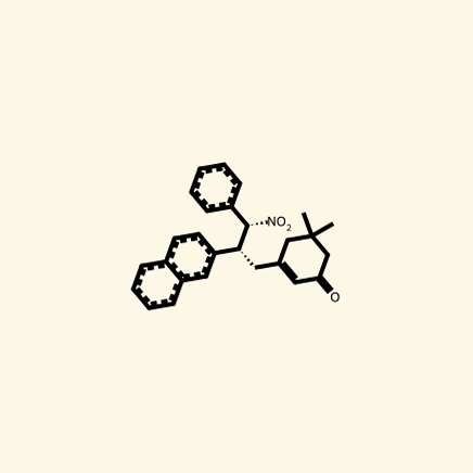 CC1(C)CC(=O)C=C(C[C@H](c2ccc3ccccc3c2)[C@H](c2ccccc2)[N+](=O)[O-])C1